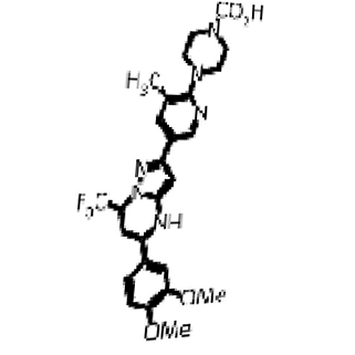 COc1ccc(C2CC(C(F)(F)F)n3nc(-c4cnc(N5CCN(C(=O)O)CC5)c(C)c4)cc3N2)cc1OC